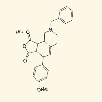 COc1ccc(C2C=C3CCN(Cc4ccccc4)CC3C3C(=O)OC(=O)C23)cc1.Cl